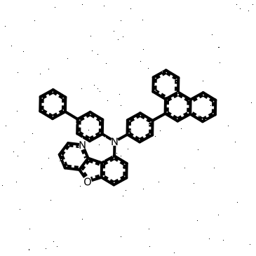 c1ccc(-c2ccc(N(c3ccc(-c4cc5ccccc5c5ccccc45)cc3)c3cccc4oc5cccnc5c34)cc2)cc1